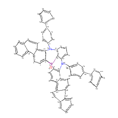 O=P12c3ccc4c(ccc5ccccc54)c3N(c3ccc(-c4ccccc4)cc3)c3cccc(c31)N(c1ccc(-c3ccccc3)cc1)c1c2ccc2c1ccc1c3ccccc3ccc21